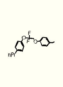 CCCc1ccc(OC(F)(F)COc2ccc(C)cc2)cc1